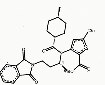 COC(=O)c1sc(C(C)(C)C)cc1N(C(=O)[C@H]1CC[C@H](C)CC1)[C@@H](C)CCN1C(=O)c2ccccc2C1=O